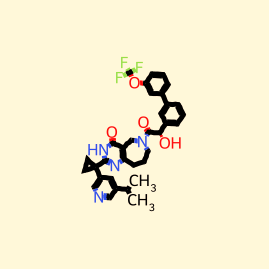 CC(C)c1cncc(C2(c3nc4c(c(=O)[nH]3)CN(C(=O)[C@H](O)c3cccc(-c5cccc(OC(F)(F)F)c5)c3)CCC4)CC2)c1